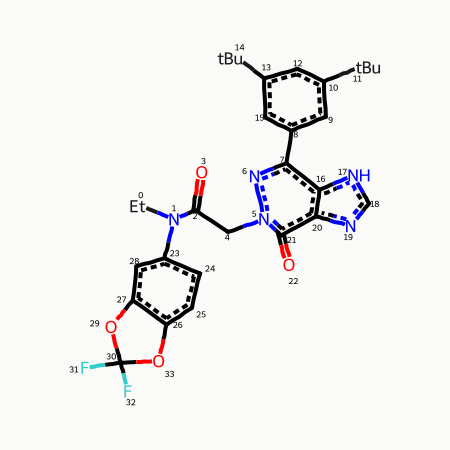 CCN(C(=O)Cn1nc(-c2cc(C(C)(C)C)cc(C(C)(C)C)c2)c2[nH]cnc2c1=O)c1ccc2c(c1)OC(F)(F)O2